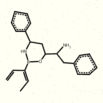 C=CC(=CC)B1NC(c2ccccc2)CC(C(N)Cc2ccccc2)O1